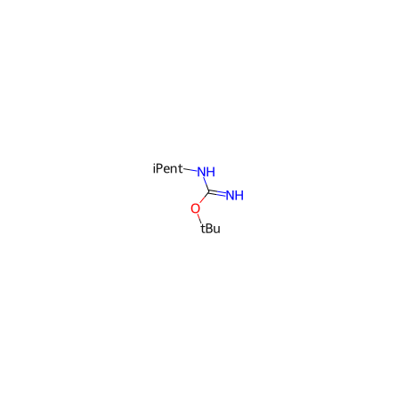 CCCC(C)NC(=N)OC(C)(C)C